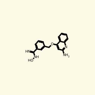 N=C(NO)c1cccc(COc2cc(N)nc3ccccc23)c1